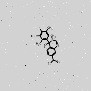 CCC(CC)c1ccc2c(c1)N=CN(C)C2(C)c1cc(C)c(F)c(C)c1C